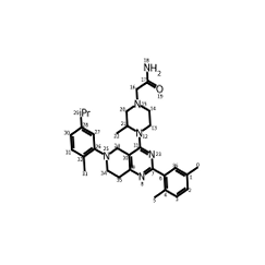 Cc1ccc(C)c(-c2nc3c(c(N4CCN(CC(N)=O)CC4C)n2)CN(c2cc(C(C)C)ccc2C)CC3)c1